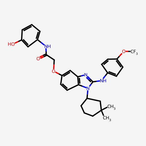 CC1(C)CCCC(n2c(Nc3ccc(OC(F)(F)F)cc3)nc3cc(OCC(=O)Nc4cccc(O)c4)ccc32)C1